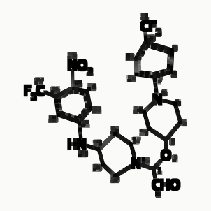 O=CC(OC1CCN(c2ccc(C(F)(F)F)cc2)CC1)N1CCC(Nc2ccc([N+](=O)[O-])c(C(F)(F)F)c2)CC1